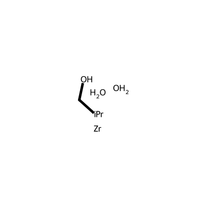 CC(C)CO.O.O.[Zr]